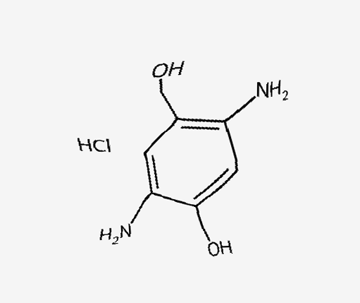 Cl.Nc1cc(O)c(N)cc1O